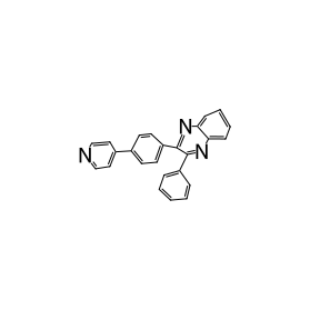 c1ccc(-c2nc3ccccc3nc2-c2ccc(-c3ccncc3)cc2)cc1